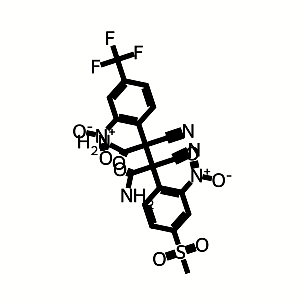 CS(=O)(=O)c1ccc(C(C#N)(C(N)=O)C(C#N)(C(N)=O)c2ccc(C(F)(F)F)cc2[N+](=O)[O-])c([N+](=O)[O-])c1